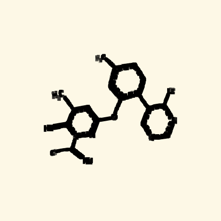 CCc1ncncc1-c1ccc(C(F)(F)F)cc1Oc1cc(C)c(=N)n(C(=N)Cl)n1